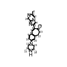 Cc1cn2cc(C3=Cc4ccc(N5C[C@@H](C)N[C@@H](C)C5)cc4CCC3=O)nc2cn1